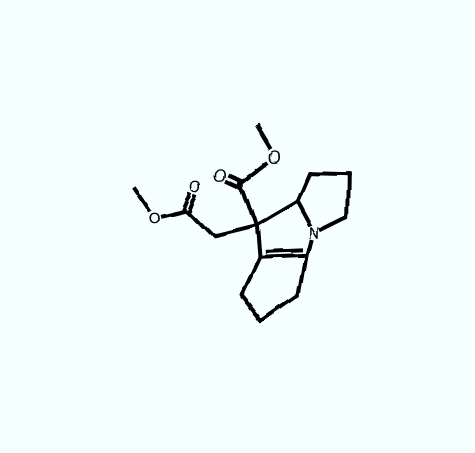 COC(=O)CC1(C(=O)OC)C2=C(CCC2)N2CCCC21